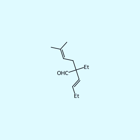 CCC=CC(C=O)(CC)CC=C(C)C